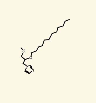 CCCCCCCCCCCCOC(COC)Cn1ccnc1